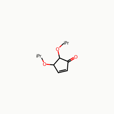 CC(C)OC1C=CC(=O)C1OC(C)C